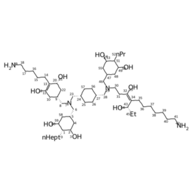 CCCCCCC[C@H]1C(O)C[C@@H](CN(C[C@@H]2CC(O)=C(CCCCCN)[C@H](O)C2)C[C@H]2CC[C@@H](CN(CC/C(O)=C(/CCCCCCCN)[C@@H](O)CC)CC3CC(O)C(CCC)[C@H](O)C3)CC2)CC1O